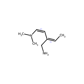 C/C=C(\C=C/N(C)C)CN